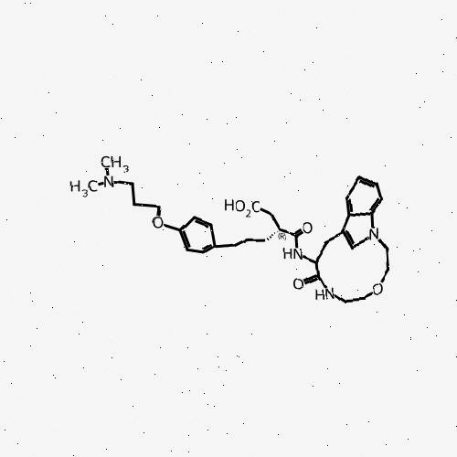 CN(C)CCCOc1ccc(CCC[C@H](CC(=O)O)C(=O)NC2Cc3cn(c4ccccc34)CCOCCNC2=O)cc1